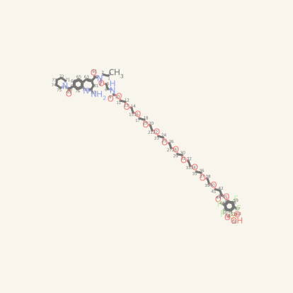 CCCN(OCCNC(=O)OCCOCCOCCOCCOCCOCCOCCOCCOCCOCCOCCC(=O)Oc1c(F)c(F)c(S(=O)(=O)O)c(F)c1F)C(=O)C1=Cc2ccc(C(=O)N3CCCCC3)cc2N=C(N)C1